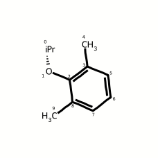 [CH2][C@@H](C)Oc1c(C)cccc1C